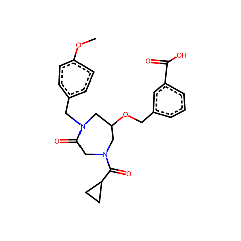 COc1ccc(CN2CC(OCc3cccc(C(=O)O)c3)CN(C(=O)C3CC3)CC2=O)cc1